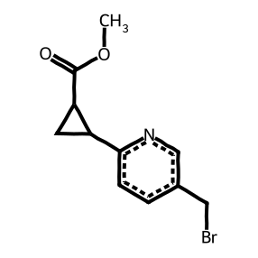 COC(=O)C1CC1c1ccc(CBr)cn1